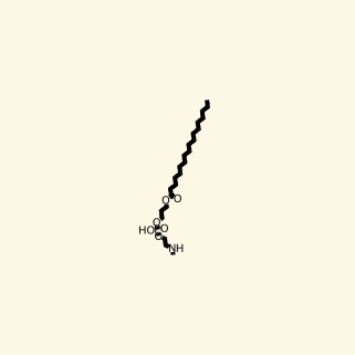 CCCCCCCCCCCCCCCCCC(=O)OCCCOP(=O)(O)OCCNC